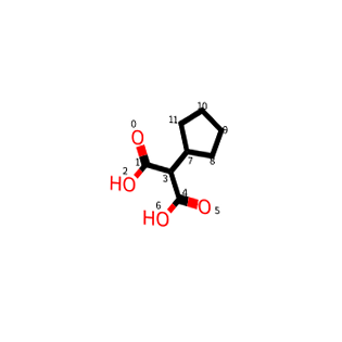 O=C(O)C(C(=O)O)C1CCCC1